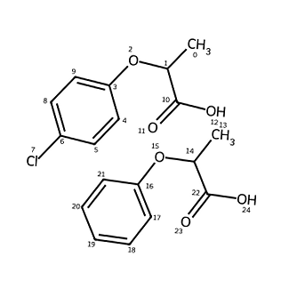 CC(Oc1ccc(Cl)cc1)C(=O)O.CC(Oc1ccccc1)C(=O)O